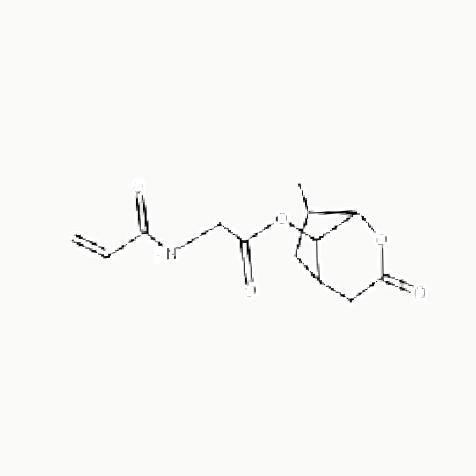 C=CC(=O)NCC(=O)OC1C2CC(=O)OC1C(C)C2